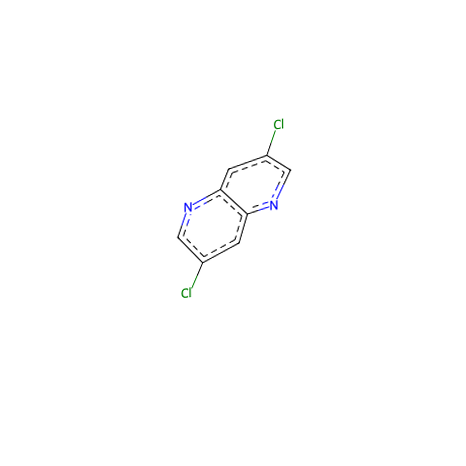 Clc1cnc2cc(Cl)cnc2c1